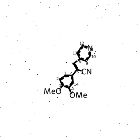 COc1ccc(C(C#N)=Cc2ccncc2)cc1OC